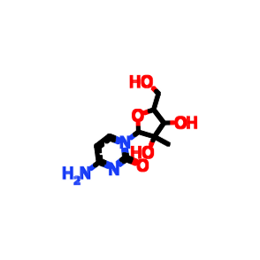 CC1(O)C(O)C(CO)OC1n1ccc(N)nc1=O